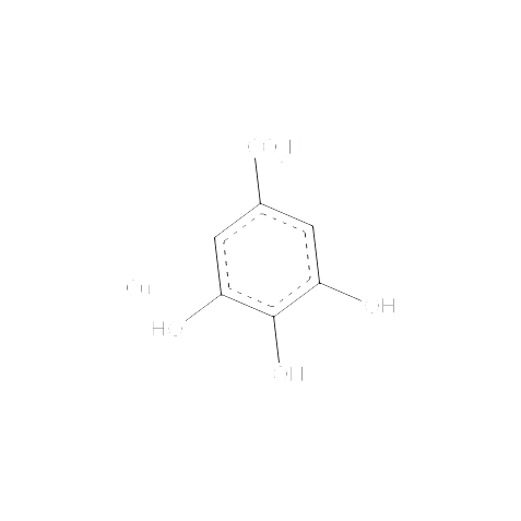 O=C(O)c1cc(O)c(O)c(O)c1.[Cu]